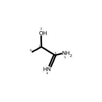 CC(O)C(=N)N